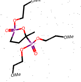 COCCOP1(=O)CCC(C)(P(=O)(OCCOC)OCCOC)O1